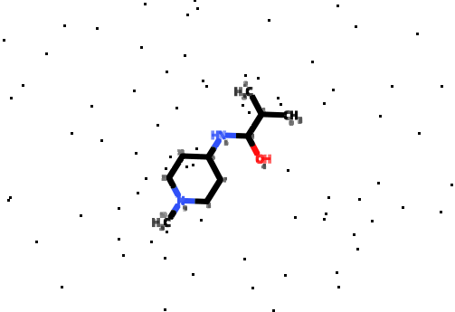 CC(C)C(O)NC1CCN(C)CC1